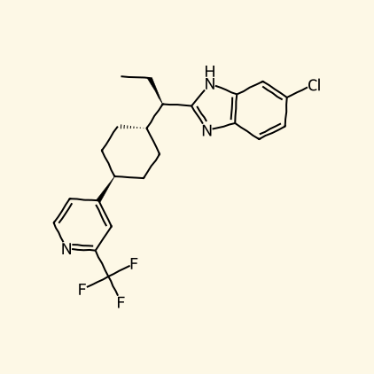 CC[C@@H](c1nc2ccc(Cl)cc2[nH]1)[C@H]1CC[C@H](c2ccnc(C(F)(F)F)c2)CC1